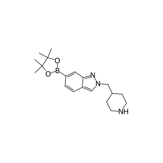 CC1(C)OB(c2ccc3cn(CC4CCNCC4)nc3c2)OC1(C)C